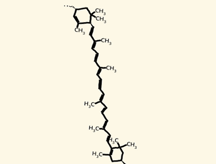 CC1=C[C@H](O)CC(C)(C)[C@H]1/C=C/C(C)=C/C=C/C(C)=C/C=C/C=C(C)/C=C/C=C(C)/C=C/C1=C(C)C[C@H](O)CC1(C)C